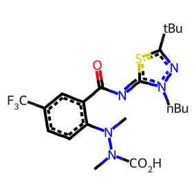 CCCCn1nc(C(C)(C)C)sc1=NC(=O)c1cc(C(F)(F)F)ccc1N(C)N(C)C(=O)O